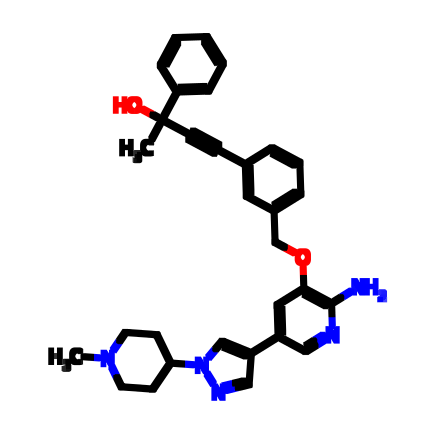 CN1CCC(n2cc(-c3cnc(N)c(OCc4cccc(C#CC(C)(O)c5ccccc5)c4)c3)cn2)CC1